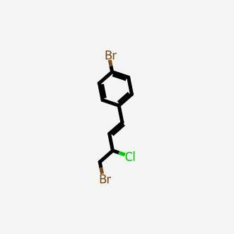 ClC(C=Cc1ccc(Br)cc1)CBr